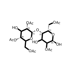 CC(=O)OCC1O[C@@H](O[C@H]2C(O)C(OC(C)=O)[C@H](O)O[C@H]2COC(C)=O)[C@@H](OC(C)=O)C(O)[C@H]1OC(C)=O